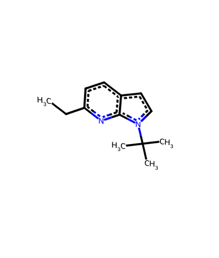 CCc1ccc2ccn(C(C)(C)C)c2n1